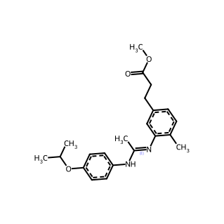 COC(=O)CCc1ccc(C)c(/N=C(\C)Nc2ccc(OC(C)C)cc2)c1